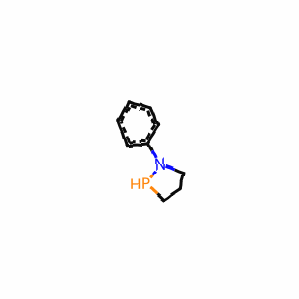 c1ccc(N2CCCP2)cc1